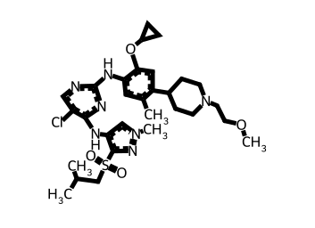 COCCN1CCC(c2cc(OC3CC3)c(Nc3ncc(Cl)c(Nc4cn(C)nc4S(=O)(=O)CC(C)C)n3)cc2C)CC1